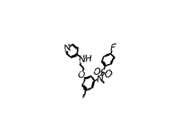 Cc1cc(OCCNc2ccncc2)cc(N(C)S(=O)(=O)c2ccc(F)cc2)c1